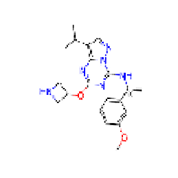 COc1cccc([C@H](C)Nc2nc(OC3CNC3)nc3c(C(C)C)cnn23)c1